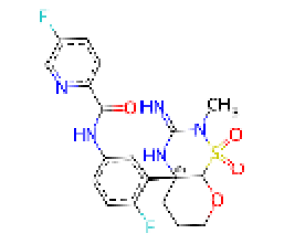 CN1C(=N)N[C@@]2(c3cc(NC(=O)c4ccc(F)cn4)ccc3F)CCCOC2S1(=O)=O